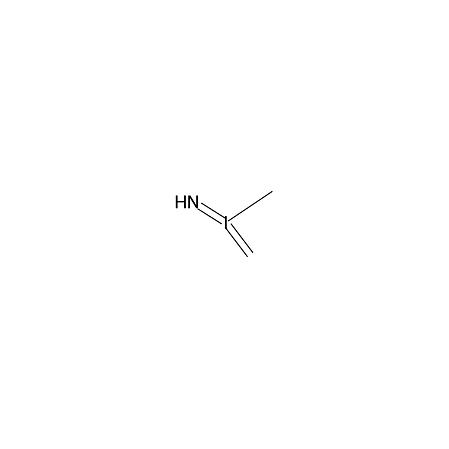 C=I(C)=N